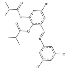 CC(C)C(=O)Oc1cc(Br)cc(C=Nc2cc(Cl)cc(Cl)c2)c1OC(=O)C(C)C